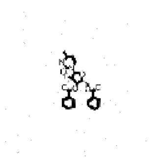 Cc1ccn([C@@H]2O[C@H](COC(=O)c3ccccc3)[C@@H](OC(=O)c3ccccc3)[C@@]2(C)F)c(=O)n1